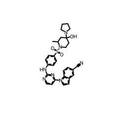 CC1CC(O)(N2CCCC2)CCN1S(=O)(=O)c1ccc(Nc2nccc(-n3ccc4cc(C#N)ccc43)n2)cc1